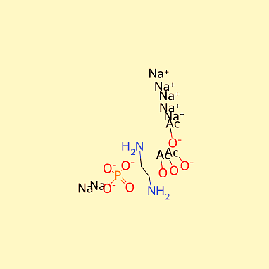 CC(=O)[O-].CC(=O)[O-].CC(=O)[O-].CC(=O)[O-].NCCN.O=P([O-])([O-])[O-].[Na+].[Na+].[Na+].[Na+].[Na+].[Na+].[Na+]